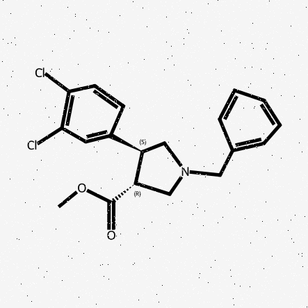 COC(=O)[C@H]1CN(Cc2ccccc2)C[C@@H]1c1ccc(Cl)c(Cl)c1